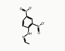 C/C=N\Nc1ccc([N+](=O)[O-])cc1[N+](=O)[O-]